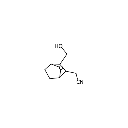 N#CCC1C2CCC(O2)C1CO